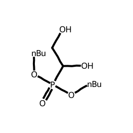 CCCCOP(=O)(OCCCC)C(O)CO